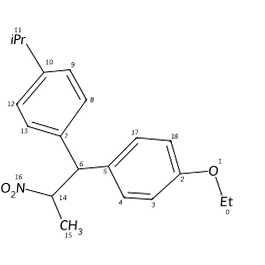 CCOc1ccc(C(c2ccc(C(C)C)cc2)C(C)[N+](=O)[O-])cc1